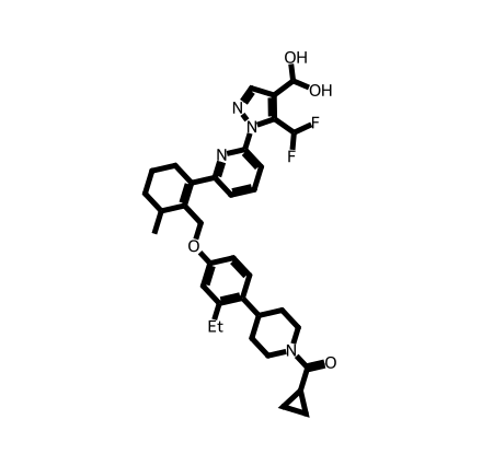 CCc1cc(OCC2=C(c3cccc(-n4ncc(C(O)O)c4C(F)F)n3)CCCC2C)ccc1C1CCN(C(=O)C2CC2)CC1